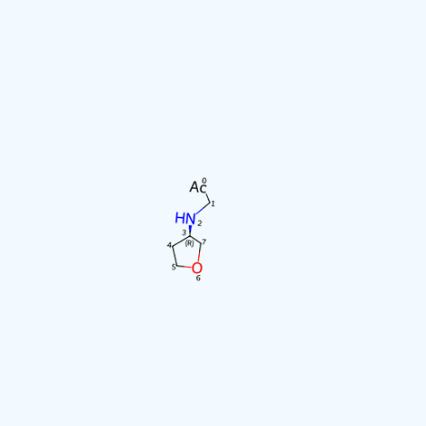 CC(=O)CN[C@@H]1CCOC1